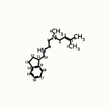 CC(C)=CCN(C)CCNCC1CCc2ccccc21